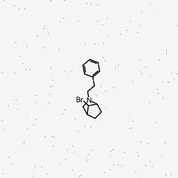 BrC1C2CCC1N(CCc1ccccc1)C2